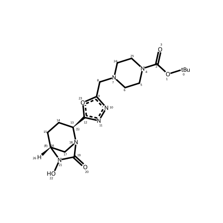 CC(C)(C)OC(=O)N1CCN(Cc2nnc([C@@H]3CC[C@@H]4CN3C(=O)N4O)o2)CC1